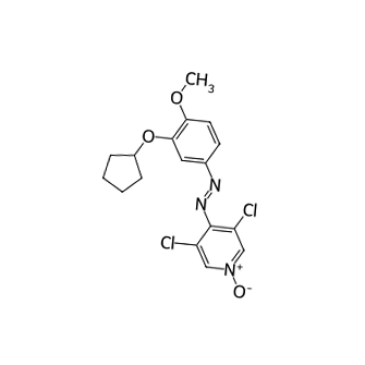 COc1ccc(N=Nc2c(Cl)c[n+]([O-])cc2Cl)cc1OC1CCCC1